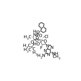 CNc1nc(N)nc2c1ncn2[C@@H]1O[C@]2(CCl)C(O[P@@](=O)(N[C@@H](C)C(=O)OCC(C)(C)C)Oc3cccc4ccccc34)[C@]2(O)[C@H]1F